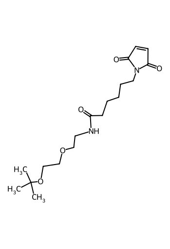 CC(C)(C)OCCOCCNC(=O)CCCCCN1C(=O)C=CC1=O